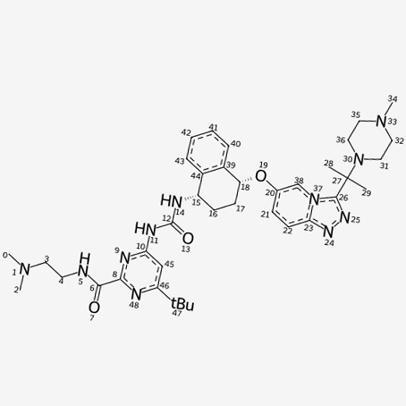 CN(C)CCNC(=O)c1nc(NC(=O)N[C@H]2CC[C@@H](Oc3ccc4nnc(C(C)(C)N5CCN(C)CC5)n4c3)c3ccccc32)cc(C(C)(C)C)n1